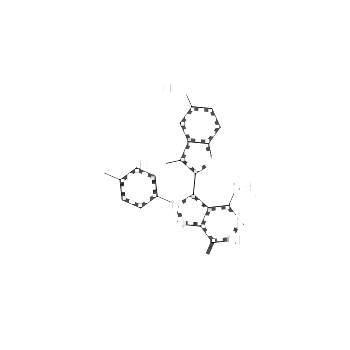 Cc1ccc2oc(-c3c4c(N)n[nH]c(=O)c4nn3-c3ccc(Cl)cc3)c(C)c2c1